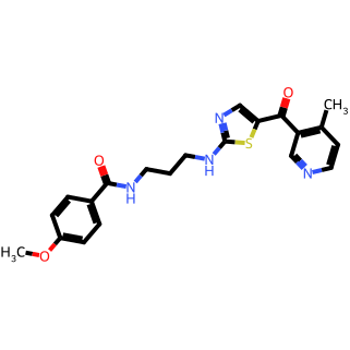 COc1ccc(C(=O)NCCCNc2ncc(C(=O)c3cnccc3C)s2)cc1